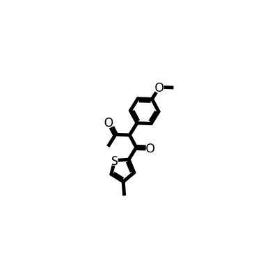 COc1ccc(C(C(C)=O)C(=O)c2cc(C)cs2)cc1